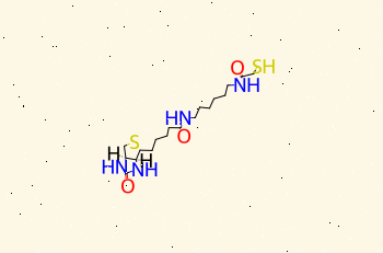 O=C(CS)NCCCCCCNC(=O)CCCCC1SC[C@@H]2NC(=O)N[C@H]12